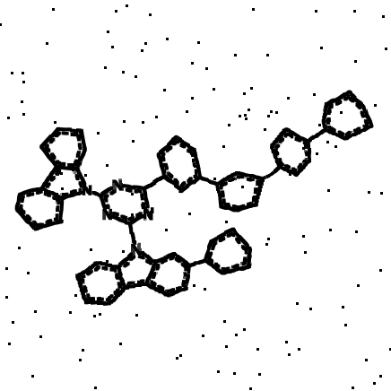 c1ccc(-c2ccc(-c3cccc(-c4cccc(-c5nc(-n6c7ccccc7c7ccccc76)nc(-n6c7ccccc7c7ccc(-c8ccccc8)cc76)n5)c4)c3)cc2)cc1